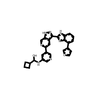 OC(Nc1cncc(-c2cc3c(-c4nc5c(-c6ccoc6)cccc5[nH]4)n[nH]c3cn2)c1)C1CCC1